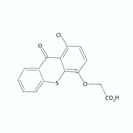 O=C(O)COc1ccc(Cl)c2c(=O)c3ccccc3sc12